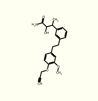 C#CCOc1ccc(CCc2cccc(C(C)C(O)C(N)=O)c2)cc1OC